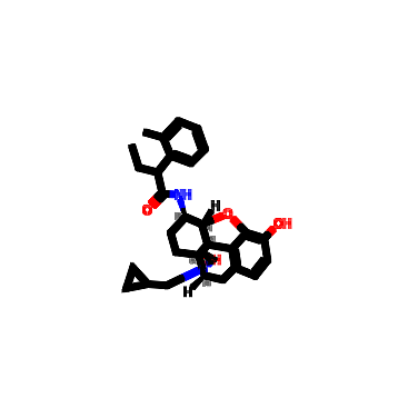 CCC(C(=O)N[C@@H]1CC[C@@]2(O)[C@H]3Cc4ccc(O)c5c4[C@@]2(CCN3CC2CC2)[C@H]1O5)c1ccccc1C